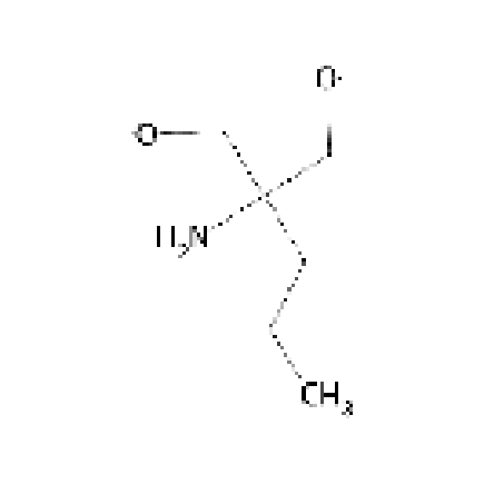 CCCC(N)(C[O])C[O]